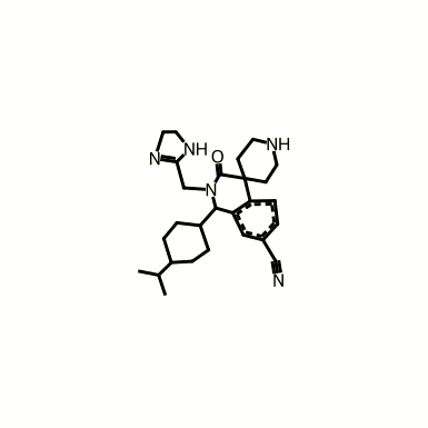 CC(C)C1CCC(C2c3cc(C#N)ccc3C3(CCNCC3)C(=O)N2CC2=NCCN2)CC1